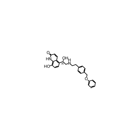 O=c1ccc2c([C@@H](O)CNCCc3ccc(COc4c[c]ccc4)cc3)ccc(O)c2[nH]1